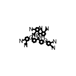 N#Cc1ccc(Oc2cccc(C(O)c3cccc(Oc4ccc(C#N)c(C#N)c4)c3)c2)cc1C#N.N#Cc1cccc(C(O)c2cccc(C#N)c2C#N)c1C#N